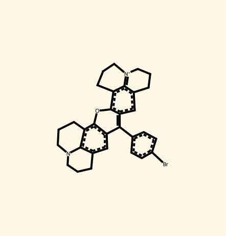 Brc1ccc(C2=c3cc4c5c(c3Oc3c2cc2c6c3CCCN6CCC2)CCC[N+]=5CCC4)cc1